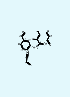 C/C=C(\C)C(=O)O.C=CC#N.C=CC=C.C=Cc1ccccc1